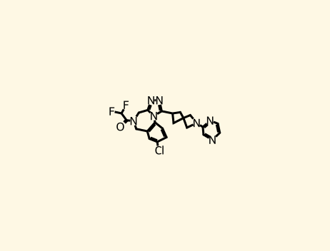 O=C(C(F)F)N1Cc2cc(Cl)ccc2-n2c(nnc2C2CC3(C2)CN(c2cnccn2)C3)C1